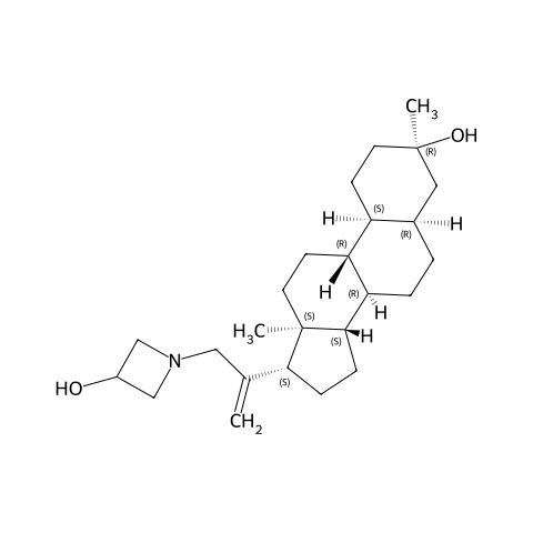 C=C(CN1CC(O)C1)[C@H]1CC[C@H]2[C@@H]3CC[C@@H]4C[C@](C)(O)CC[C@@H]4[C@H]3CC[C@]12C